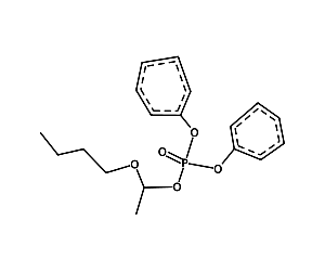 CCCCOC(C)OP(=O)(Oc1ccccc1)Oc1ccccc1